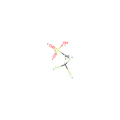 FC(F)F.O=[S](=O)(O)[Ag]